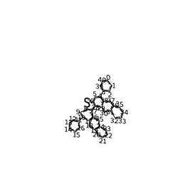 c1ccc(-c2cc3sc4cc(-c5ccccc5)c5cc6ccccc6cc5c4c3c3cc4ccccc4cc23)cc1